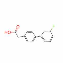 O=C(O)Cc1ccc(-c2cccc(F)c2)cc1